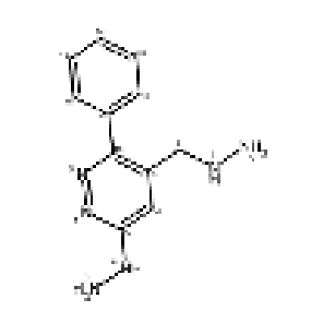 NNCc1cc(NN)nnc1-c1ccccc1